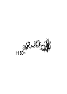 CN(CCCO)C(=O)CC#Cc1cccc(-c2ccc3ncnc(N4CCC4)c3c2)c1